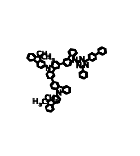 CC1(C)c2ccccc2-c2ccc(-n3c4ccccc4c4cc(-c5ccc6c(c5)c5cc(-c7ccc8c(c7)c7ccccc7n8-c7nc(-c8ccccc8)nc(-c8ccc(-c9ccccc9)cc8)n7)ccc5n6-c5ccc6c(c5)C(C)(C)c5ccccc5-6)ccc43)cc21